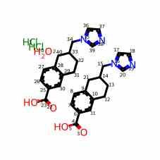 Cl.Cl.O.O=C(O)c1ccc2c(c1)CCC(Cn1ccnc1)C2.O=C(O)c1ccc2c(c1)CCC(Cn1ccnc1)C2